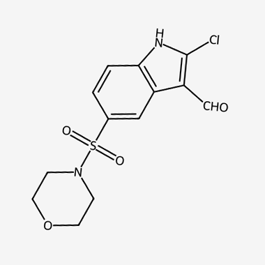 O=Cc1c(Cl)[nH]c2ccc(S(=O)(=O)N3CCOCC3)cc12